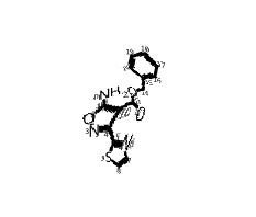 Nc1onc(-c2nccs2)c1C(=O)OCc1ccccc1